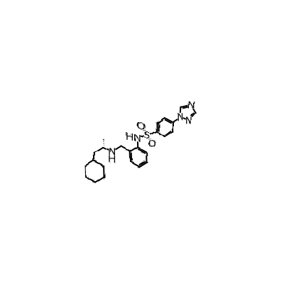 C[C@@H](CC1CCCCC1)NCc1ccccc1NS(=O)(=O)c1ccc(-n2cncn2)cc1